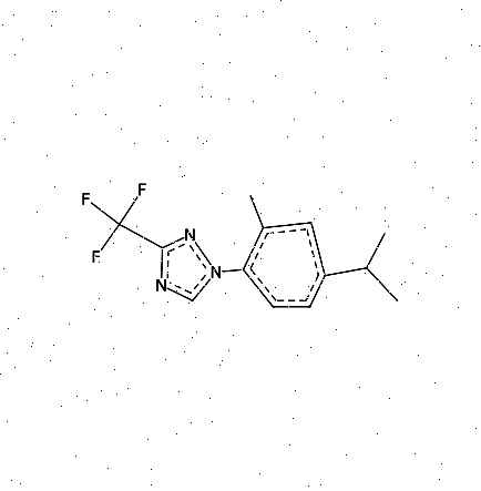 Cc1cc(C(C)C)ccc1-n1cnc(C(F)(F)F)n1